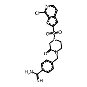 N=C(N)c1ccc(CN2CCN(S(=O)(=O)c3cc4ccnc(Cl)c4s3)CC2=O)cc1